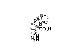 CC(SC1(C)N=CN=N1)C1=C(C(=O)O)N2C(=O)C(N)[C@@H]2SC1